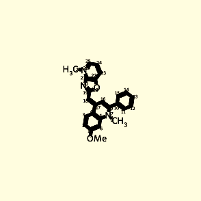 COc1ccc2c(c1)N(C)C(c1ccccc1)=C/C2=C\c1nc2c(ccc[n+]2C)o1